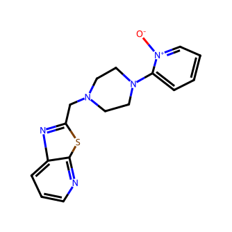 [O-][n+]1ccccc1N1CCN(Cc2nc3cccnc3s2)CC1